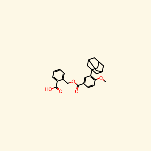 COc1ccc(C(=O)OCc2ccccc2C(=O)O)cc1C12CC3CC(CC(C3)C1)C2